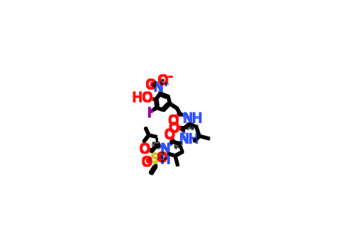 C=CS(=O)(=O)C(=O)[C@H](CC(C)C)NC(=O)[C@H](CC(C)C)NC(=O)[C@H](CC(C)C)NC(=O)Cc1cc(I)c(O)c([N+](=O)[O-])c1